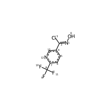 ON=C(Cl)c1ccc(C(F)(F)F)nc1